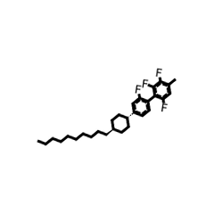 CCCCCCCCCC[C@H]1CC[C@H](c2ccc(-c3c(F)cc(C)c(F)c3F)c(F)c2)CC1